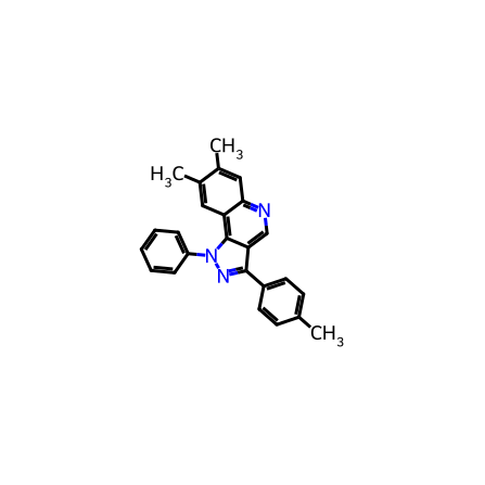 Cc1ccc(-c2nn(-c3ccccc3)c3c2cnc2cc(C)c(C)cc23)cc1